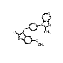 COc1ccc2sc(=O)n(Cc3ccc(-n4c(C)nc5cnccc54)cc3)c2c1